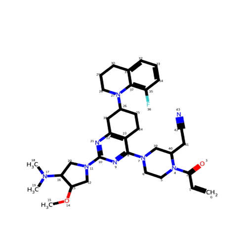 C=CC(=O)N1CCN(c2nc(N3CC(OC)C(N(C)C)C3)nc3c2CCC(N2CCCc4cccc(F)c42)C3)CC1CC#N